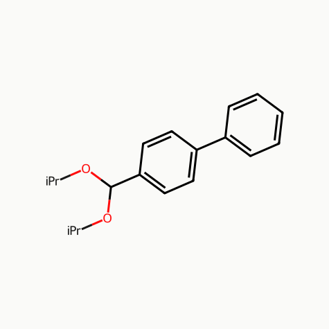 CC(C)OC(OC(C)C)c1ccc(-c2ccccc2)cc1